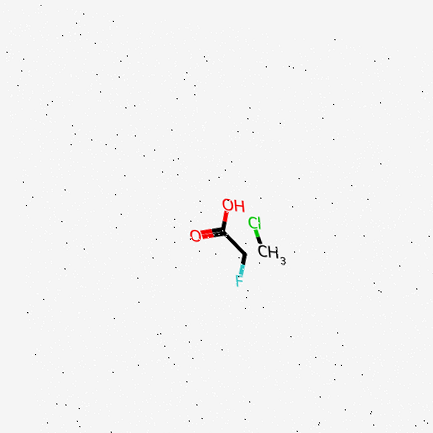 CCl.O=C(O)CF